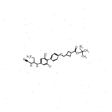 CSC(NC#N)Nc1cc(Cl)c(-c2ccc(OCC3CN(C(=O)OC(C)(C)C)C3)cc2)c(Cl)c1